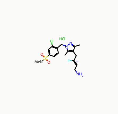 CNS(=O)(=O)c1ccc(Cn2nc(C)c(C/C(F)=C/CN)c2C)c(Cl)c1.Cl